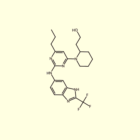 CCCc1cc(N2CCCCC2CCO)nc(Nc2ccc3nc(C(F)(F)F)[nH]c3c2)n1